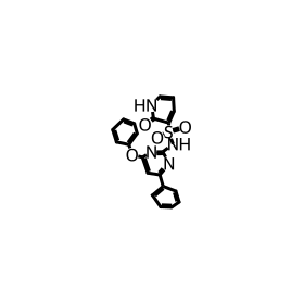 O=c1[nH]cccc1S(=O)(=O)Nc1nc(Oc2ccccc2)cc(-c2ccccc2)n1